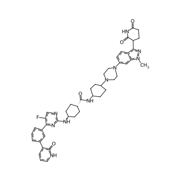 Cn1nc(C2CCC(=O)NC2=O)c2ccc(N3CCN(C4CCC(NC(=O)[C@H]5CC[C@H](Nc6ncc(F)c(-c7cccc(-c8ccc[nH]c8=O)c7)n6)CC5)CC4)CC3)cc21